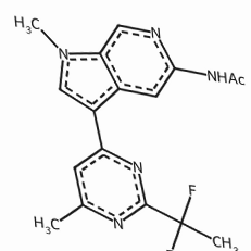 CC(=O)Nc1cc2c(-c3cc(C)nc(C(C)(F)F)n3)cn(C)c2cn1